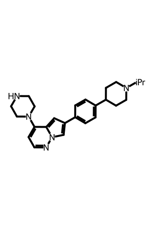 CC(C)N1CCC(c2ccc(-c3cc4c(N5CCNCC5)ccnn4c3)cc2)CC1